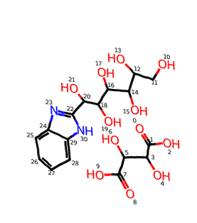 O=C(O)C(O)C(O)C(=O)O.OCC(O)C(O)C(O)C(O)C(O)c1nc2ccccc2[nH]1